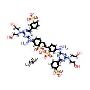 NN(c1ccc(C=Cc2ccc(N(N)c3nc(-c4cccc(S(=O)(=O)[O-])c4)nc(N(CCO)CCO)n3)cc2S(=O)(=O)[O-])c(S(=O)(=O)[O-])c1)c1nc(-c2cccc(S(=O)(=O)[O-])c2)nc(N(CCO)CCO)n1.[Na+].[Na+].[Na+].[Na+]